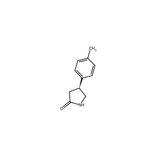 Cc1ccc([C@H]2CNC(=O)C2)cc1